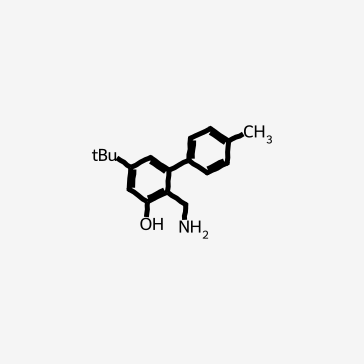 Cc1ccc(-c2cc(C(C)(C)C)cc(O)c2CN)cc1